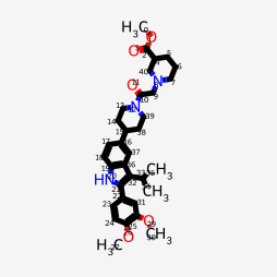 COC(=O)C1CCCN(CC(=O)N2CCC(c3ccc4[nH]c(-c5ccc(OC)c(OC)c5)c(C(C)C)c4c3)CC2)C1